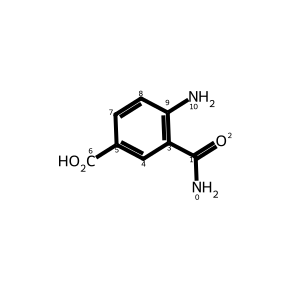 NC(=O)c1cc(C(=O)O)ccc1N